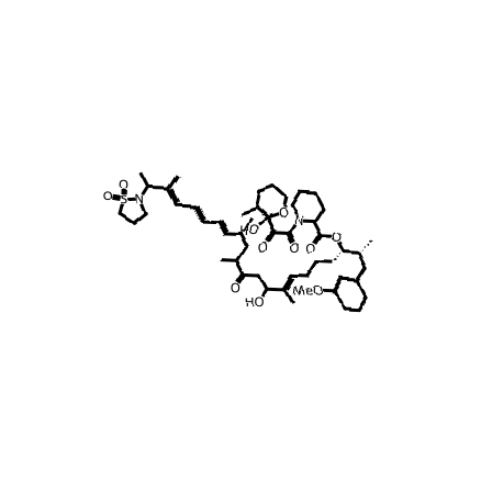 COC1CCCC(C[C@@H](C)[C@H](CCC/C=C(\C)C(O)CC(=O)C(C)C[C@H](C)/C=C/C=C/C=C(\C)C(C)N2CCCS2(=O)=O)OC(=O)C2CCCCN2C(=O)C(=O)C2(O)OCCCC2C)C1